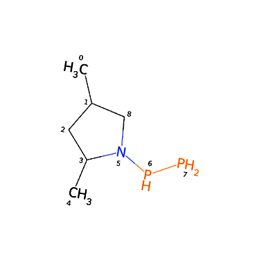 CC1CC(C)N(PP)C1